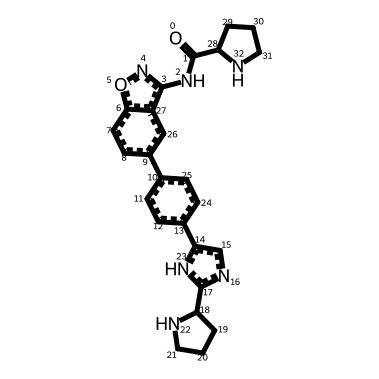 O=C(Nc1noc2ccc(-c3ccc(-c4cnc(C5CCCN5)[nH]4)cc3)cc12)C1CCCN1